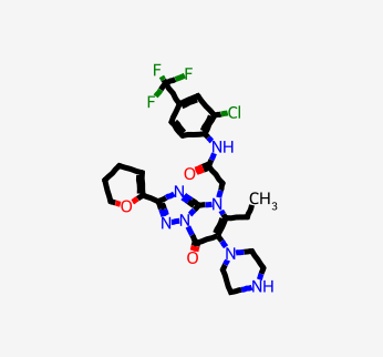 CCc1c(N2CCNCC2)c(=O)n2nc(C3=CCCCO3)nc2n1CC(=O)Nc1ccc(C(F)(F)F)cc1Cl